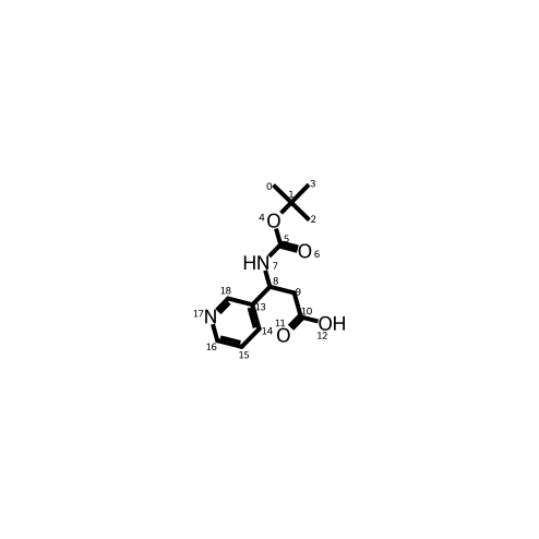 CC(C)(C)OC(=O)NC(CC(=O)O)c1cccnc1